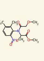 COCC(=O)N(c1c([N+](=O)[O-])ccc(C)c1C)C(C)C(=O)OC